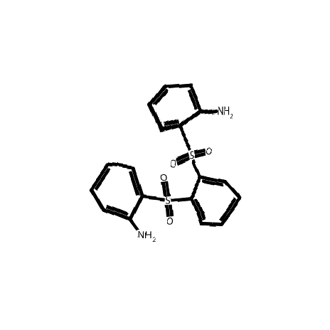 Nc1ccccc1S(=O)(=O)c1ccccc1S(=O)(=O)c1ccccc1N